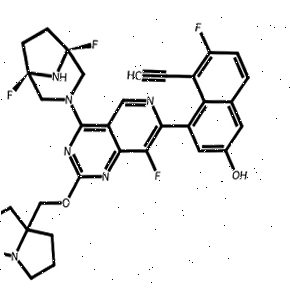 C#Cc1c(F)ccc2cc(O)cc(-c3ncc4c(N5C[C@]6(F)CC[C@](F)(C5)N6)nc(OCC56CCCN5CCC6)nc4c3F)c12